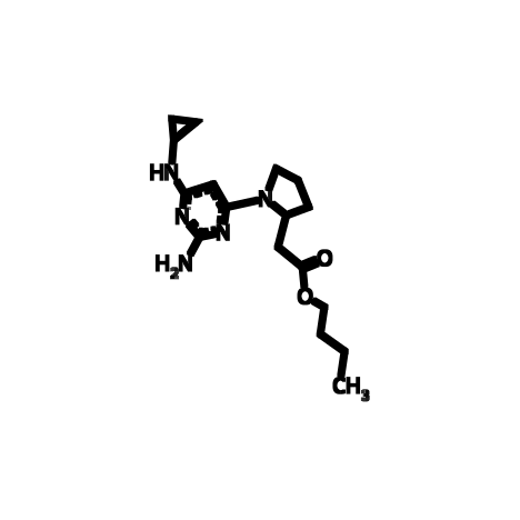 CCCCOC(=O)CC1CCCN1c1cc(NC2CC2)nc(N)n1